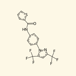 O=C(Nc1ccc(-n2nc(C(F)(F)F)cc2C(F)(F)F)cc1)c1cccs1